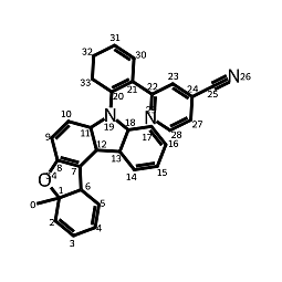 CC12C=CC=CC1C1=C(C=CC3C1C1C=CC=CC1N3C1=C(c3cc(C#N)ccn3)C=CCC1)O2